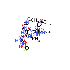 C=CC(=O)N1CCC(Oc2cnc3[nH]cc(C(=O)NCC(C)(C)C)c3n2)CC1.C=CC(=O)N1CCC(Oc2cnc3[nH]cc(C(=O)NCC(C)C)c3n2)CC1.C=CC(=O)N1CCC(Oc2cnc3[nH]cc(C(=O)NCC4(O)CCCC(F)(F)C4)c3n2)CC1